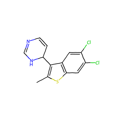 Cc1sc2cc(Cl)c(Cl)cc2c1C1C=CN=CN1